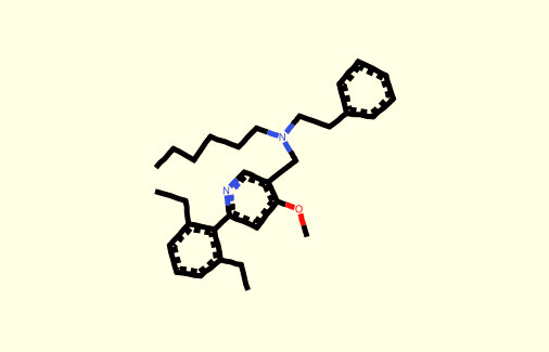 CCCCCCN(CCc1ccccc1)Cc1cnc(-c2c(CC)cccc2CC)cc1OC